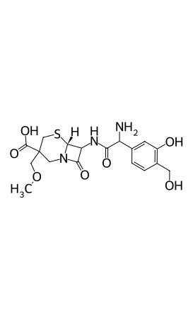 COCC1(C(=O)O)CS[C@@H]2C(NC(=O)C(N)c3ccc(CO)c(O)c3)C(=O)N2C1